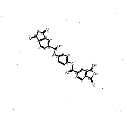 O=C(Oc1ccc(OC(=O)c2ccc3c(c2)C(=O)OC3=O)cc1)c1ccc2c(c1)C(=O)CC2=O